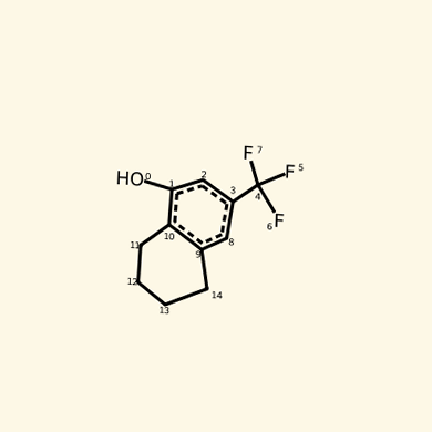 Oc1cc(C(F)(F)F)cc2c1CCCC2